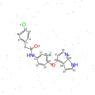 O=C(Cc1ccc(Cl)cc1)Nc1ccc(Oc2ccnc3[nH]ccc23)c(F)c1